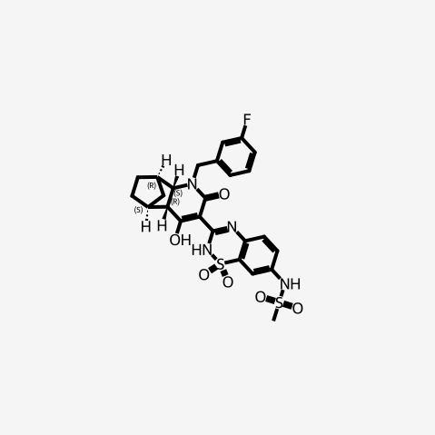 CS(=O)(=O)Nc1ccc2c(c1)S(=O)(=O)NC(C1=C(O)[C@@H]3[C@H]4CC[C@H](C4)[C@@H]3N(Cc3cccc(F)c3)C1=O)=N2